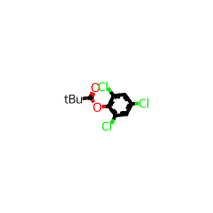 CC(C)(C)C(=O)Oc1c(Cl)cc(Cl)cc1Cl